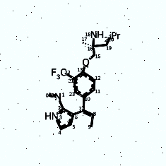 C=Nc1[nH]ccc1/C(=C\C)c1ccc(OC[C@@](C)(N)CC(C)C)c(C(F)(F)F)c1